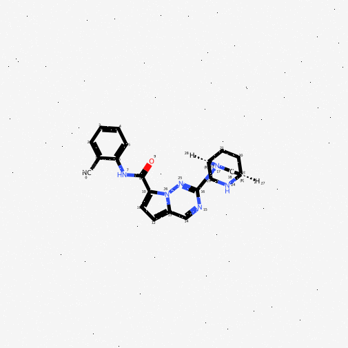 N#Cc1ccccc1NC(=O)c1ccc2cnc(N3C[C@H]4CC[C@@H]3CN4)nn12